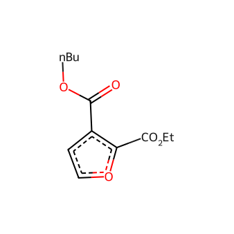 CCCCOC(=O)c1ccoc1C(=O)OCC